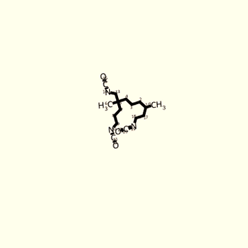 CC(CCCC(C)(CCCN=C=O)CN=C=O)CCN=C=O